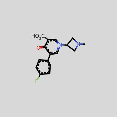 CN1CC(n2cc(C(=O)O)c(=O)c(-c3ccc(F)cc3)c2)C1